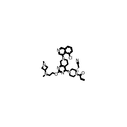 C=CC(=O)N1CCN(c2nc(OCCN(C)C3CN(C)C3)nc3c2CCN(c2cncc4cccc(Cl)c24)C3)C[C@@H]1CC#N